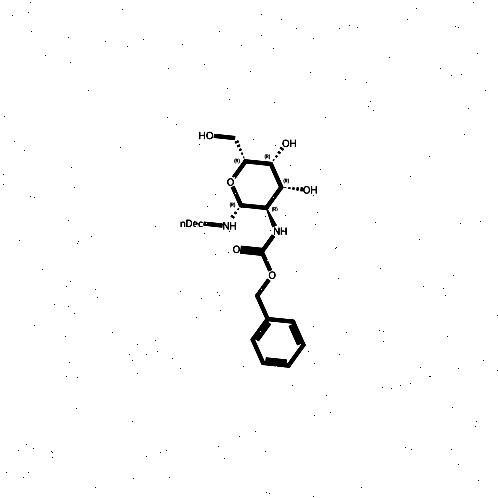 CCCCCCCCCCN[C@@H]1O[C@H](CO)[C@H](O)[C@H](O)[C@H]1NC(=O)OCc1ccccc1